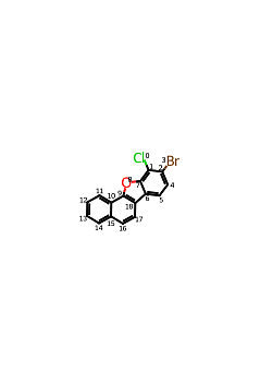 Clc1c(Br)ccc2c1oc1c3ccccc3ccc21